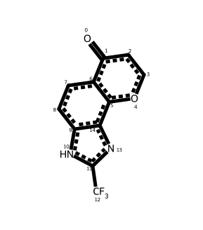 O=c1ccoc2c1ccc1[nH]c(C(F)(F)F)nc12